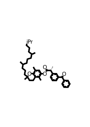 Cc1cc(OC(=O)[C@H](C)c2cccc(C(=O)c3ccccc3)c2)c(C)c2c1OC(C)(CCCC(C)CCCC(C)CCCC(C)C)CC2